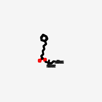 CCCCCCCCCCCCC(C)(CCCCCCCCCC)COC(=O)CCCCCCc1ccccc1